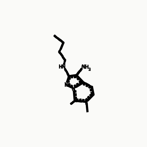 CCCCNc1nn2c(C)c(C)ccc2c1N